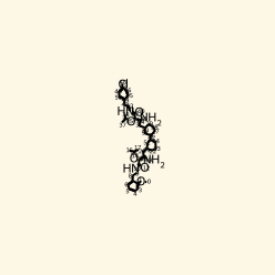 COc1ccccc1CCNC(=O)C(OC(C)C)[C@H](N)CC1CCCC(C2CCCC(C[C@@H](N)C(OC(C)C)C(=O)NCCc3ccc(Cl)cc3)C2)C1